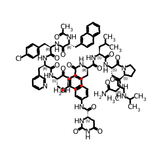 CC(=O)N[C@H](Cc1ccc2ccccc2c1)C(=O)N[C@H](Cc1ccc(Cl)cc1)C(=O)N[C@H](Cc1cccnc1)C(=O)N[C@@H](CO)C(=O)N[C@@H](Cc1ccc(NC(=O)[C@@H]2CC(=O)NC(=O)N2)cc1)C(=O)N[C@H](Cc1ccc(N)cc1)C(=O)N[C@@H](CC(C)C)C(=O)N[C@@H](CCCCNC(C)C)C(=O)N1CCC[C@H]1C(=O)N[C@H](C)C(N)=O